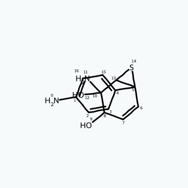 Nc1ccc(C23C=CC(O)C(N)(O)C2S3)cc1